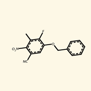 Cc1c(F)c(OCc2ccccc2)cc(C#N)c1[N+](=O)[O-]